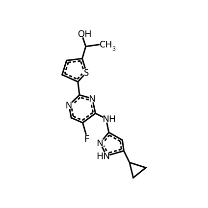 CC(O)c1ccc(-c2ncc(F)c(Nc3cc(C4CC4)[nH]n3)n2)s1